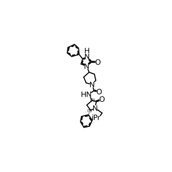 CC(C)CN1C(=O)[C@H](NC(=O)N2CCC(n3cc(-c4ccccc4)[nH]c3=O)CC2)C[C@H]1c1ccccc1